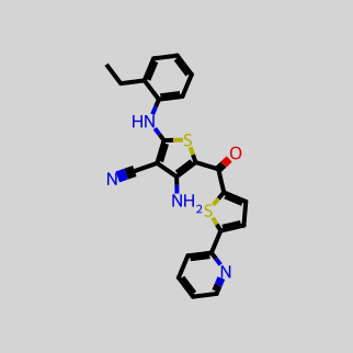 CCc1ccccc1Nc1sc(C(=O)c2ccc(-c3ccccn3)s2)c(N)c1C#N